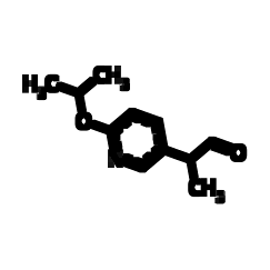 CC(C)Oc1ccc(C(C)C=O)cn1